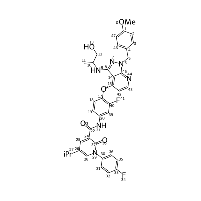 COc1ccc(Cn2nc(NC(C)CO)c3c(Oc4ccc(NC(=O)c5cc(C(C)C)cn(-c6ccc(F)cc6)c5=O)cc4F)ccnc32)cc1